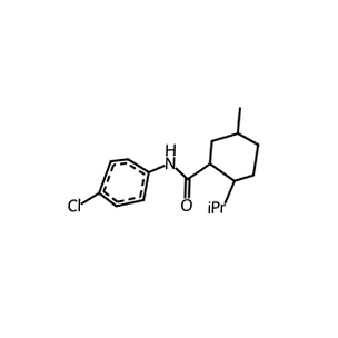 CC1CCC(C(C)C)C(C(=O)Nc2ccc(Cl)cc2)C1